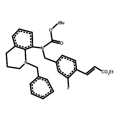 CCOC(=O)C=Cc1ccc(CN(C(=O)OC(C)(C)C)c2cccc3c2N(Cc2ccccc2)CCC3)cc1F